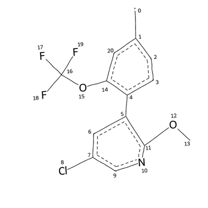 [CH2]c1ccc(-c2cc(Cl)cnc2OC)c(OC(F)(F)F)c1